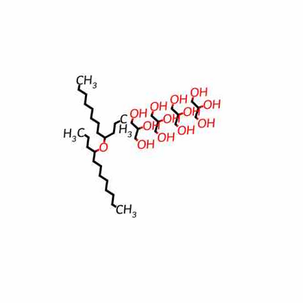 CCCCCCCCC(CCC)OC(CCC)CCCCCCCC.OCC(O)CO.OCC(O)CO.OCC(O)CO.OCC(O)CO